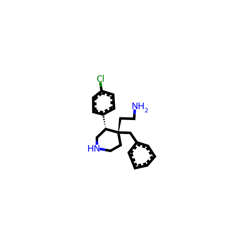 NCC[C@@]1(Cc2ccccc2)CCNC[C@@H]1c1ccc(Cl)cc1